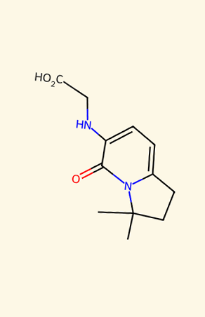 CC1(C)CCc2ccc(NCC(=O)O)c(=O)n21